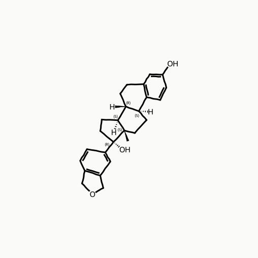 C[C@]12CC[C@@H]3c4ccc(O)cc4CC[C@H]3[C@@H]1CC[C@]2(O)c1ccc2c(c1)COC2